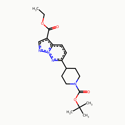 CCOC(=O)c1cnn2nc(C3CCN(C(=O)OC(C)(C)C)CC3)ccc12